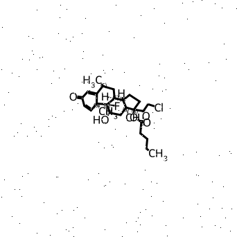 CCCCC(=O)O[C@]1(C(=O)CCl)CC[C@H]2[C@@H]3C[C@H](C)C4=CC(=O)C=C[C@]4(C)[C@@]3(F)[C@@H](O)C[C@@]21C